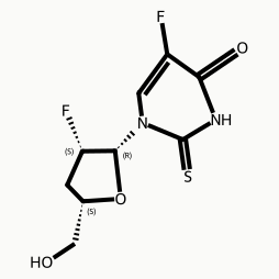 O=c1[nH]c(=S)n([C@@H]2O[C@H](CO)C[C@@H]2F)cc1F